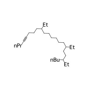 [CH2]CCC#CCCCC(CC)CCCCCCC(CC)CCC(CC)CCC[CH2]